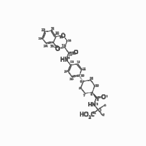 CC(C)(NC(=O)[C@H]1CC[C@H](c2ccc(NC(=O)C3COc4ccccc4O3)cc2)CC1)C(=O)O